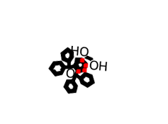 OCCO.c1ccc(C(OC(c2ccccc2)(c2ccccc2)c2ccccc2)(c2ccccc2)c2ccccc2)cc1